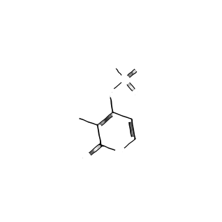 Cc1c(OS(=O)(=O)C(F)(F)F)ccoc1=O